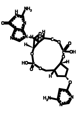 Nc1cc(O[C@@H]2C[C@@H]3COP(=O)(O)O[C@@H]4[C@H](O)[C@@H](COP(=O)(O)O[C@H]3C2)O[C@H]4n2cnc3c(=O)[nH]c(N)nc32)ncn1